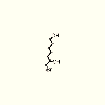 OCCCCCC(O)CBr